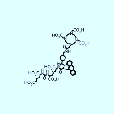 O=C(O)CCC[C@H](NC(=O)N[C@@H](CSC[C@@H](NC(=O)[C@H](Cc1c2ccccc2cc2ccccc12)NC(=O)C1CCC(CNC(=O)CN2CCN(CC(=O)O)CCN(CC(=O)O)CCN(CC(=O)O)CC2)CC1)C(=O)O)C(=O)O)C(=O)O